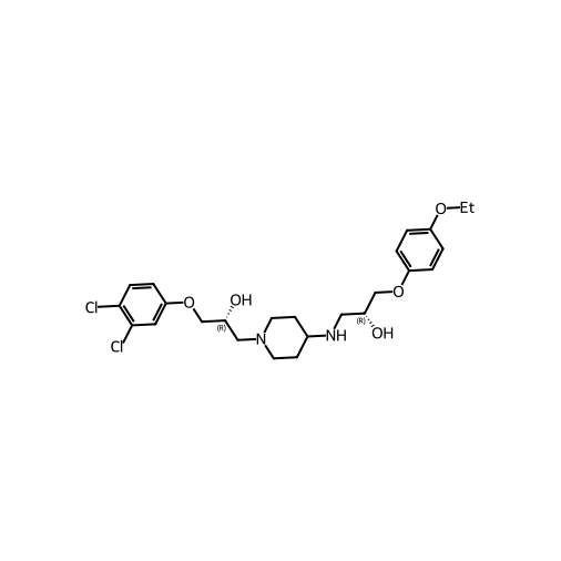 CCOc1ccc(OC[C@H](O)CNC2CCN(C[C@@H](O)COc3ccc(Cl)c(Cl)c3)CC2)cc1